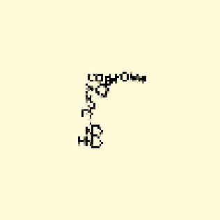 COCCOc1cccc([C@H](CC(=O)O)CN2CC[C@@](F)(CCc3ccc4c(n3)NCCC4)C2)c1